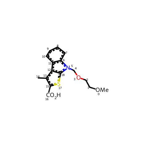 COCCOCn1c2ccccc2c2c(C)c(C(=O)O)sc21